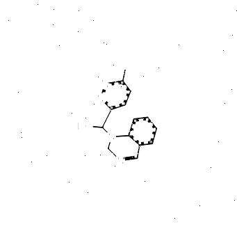 CC(c1ccc(C(F)(F)F)nn1)N1CN=Cc2ccccc21